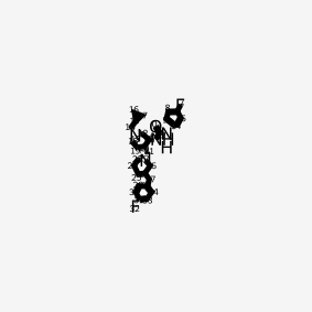 O=C(Nc1ccc(F)cc1)N[C@H]1CN(CC2CC2)CC[C@H]1CN1CCCC(Cc2ccc(F)cc2)C1